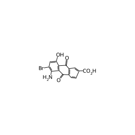 Nc1c(Br)cc(O)c2c1C(=O)c1ccc(C(=O)O)cc1C2=O